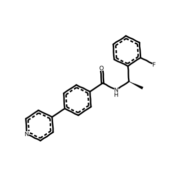 C[C@@H](NC(=O)c1ccc(-c2ccncc2)cc1)c1ccccc1F